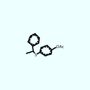 CC(=O)Oc1ccc(SC(C)c2ccccc2)cc1